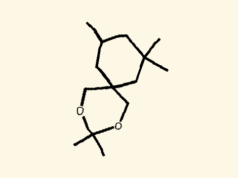 CC1CC(C)(C)CC2(COC(C)(C)OC2)C1